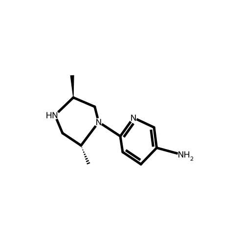 C[C@@H]1CN[C@@H](C)CN1c1ccc(N)cn1